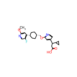 COc1cc([C@H]2CC[C@@H](COc3cc(C(CC(=O)O)C4CC4)ccn3)CC2)c(F)cn1